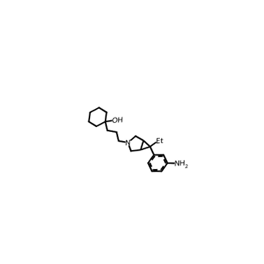 CCC1(c2cccc(N)c2)C2CN(CCCC3(O)CCCCC3)CC21